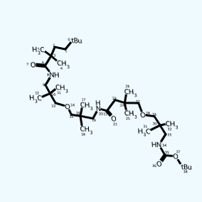 CC(C)(C)CCC(C)(C)C(=O)NCC(C)(C)COCC(C)(C)CNC(=O)CC(C)(C)COCC(C)(C)CNC(=O)OC(C)(C)C